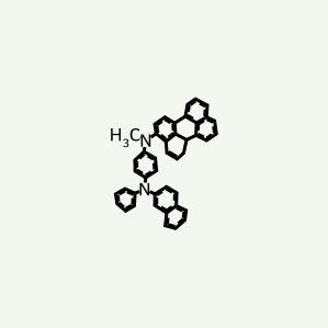 CN(c1ccc(N(c2ccccc2)c2ccc3ccccc3c2)cc1)c1ccc2c3c1C=CCC3c1cccc3cccc-2c13